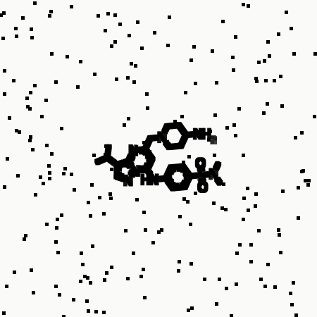 CC(C)c1cnn2c(Nc3ccc(S(=O)(=O)N(C)C)cc3)cc(CN3CCC(N)CC3)nc12